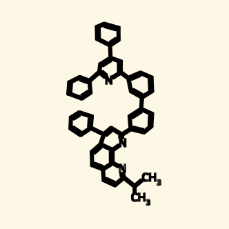 CC(C)c1ccc2ccc3c(-c4ccccc4)cc(-c4cccc(-c5cccc(-c6cc(-c7ccccc7)cc(-c7ccccc7)n6)c5)c4)nc3c2n1